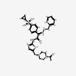 CC(=O)N1CCN(Cc2cnc(NC(=O)/C(=N/OCc3ccccn3)c3ccc(S(=O)(=O)C4CC4)cc3)s2)CC1